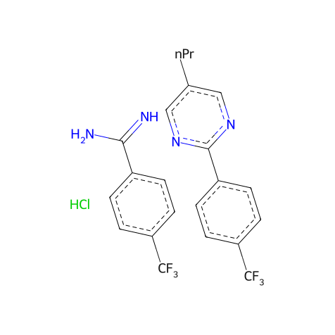 CCCc1cnc(-c2ccc(C(F)(F)F)cc2)nc1.Cl.N=C(N)c1ccc(C(F)(F)F)cc1